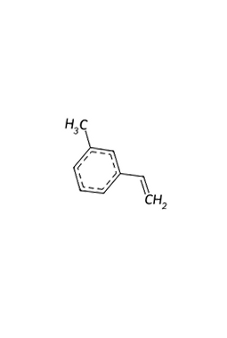 C=Cc1cccc(C)c1